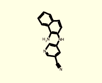 N#Cc1cncc(Nc2ccc3ccccc3c2N)c1